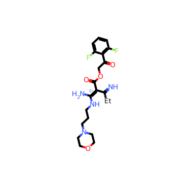 CCC(=N)/C(C(=O)OCC(=O)c1c(F)cccc1F)=C(/N)NCCCN1CCOCC1